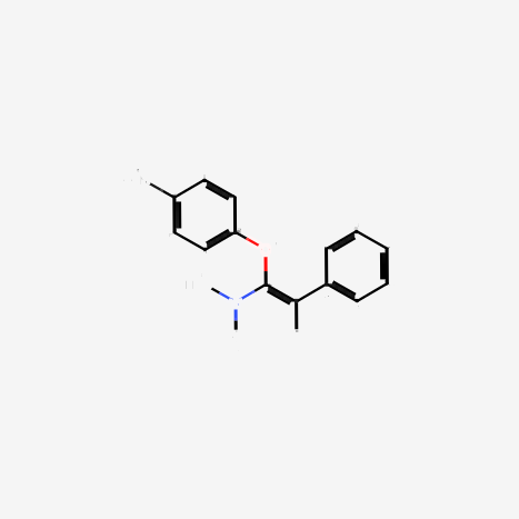 CC(=C(Oc1ccc([N+](=O)[O-])cc1)N(C)C)c1ccccc1